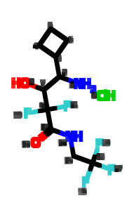 Cl.NC(C1CCC1)C(O)C(F)(F)C(=O)NCC(F)(F)F